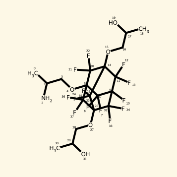 CC(N)COC12C(F)(F)C3(F)C(F)(F)C(OCC(C)O)(C1(F)F)C(F)(F)C(OCC(C)O)(C3(F)F)C2(F)F